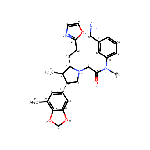 CCCCN(C(=O)CN1C[C@H](c2cc(OC)c3c(c2)OCO3)[C@@H](C(=O)O)[C@@H]1CCc1ncco1)c1cccc(CN)c1